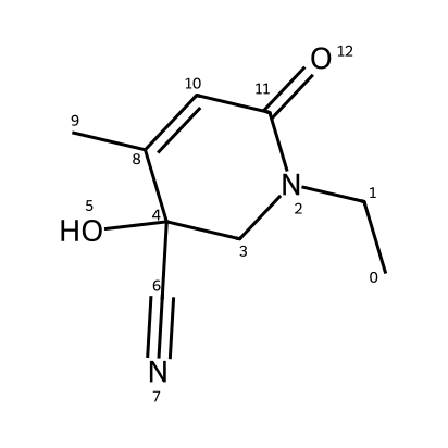 CCN1CC(O)(C#N)C(C)=CC1=O